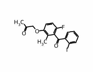 CC(=O)COc1ccc(F)c(C(=O)c2ccccc2I)c1C